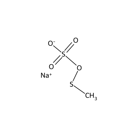 CSOS(=O)(=O)[O-].[Na+]